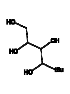 CC(C)(C)C(O)C(O)C(O)CO